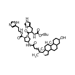 C[C@H](CCC(=O)N[C@H]1C[C@@H](C(=O)NCCc2cnc[nH]2)N(C(=O)C(Cc2c[nH]cn2)NC(=O)OC(C)(C)C)C1)[C@H]1CCC2C3CCC4C[C@H](O)CC[C@]4(C)C3CC[C@@]21C